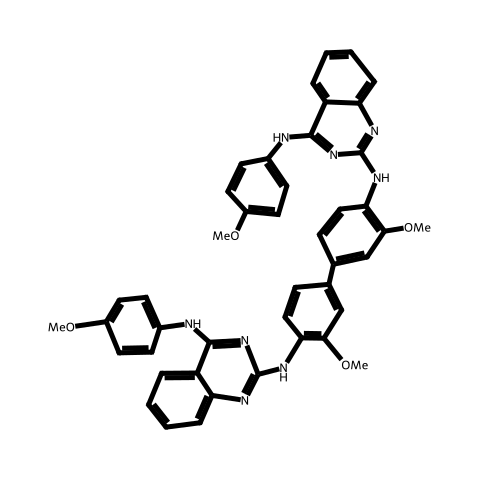 COc1ccc(Nc2nc(Nc3ccc(-c4ccc(Nc5nc(Nc6ccc(OC)cc6)c6ccccc6n5)c(OC)c4)cc3OC)nc3ccccc23)cc1